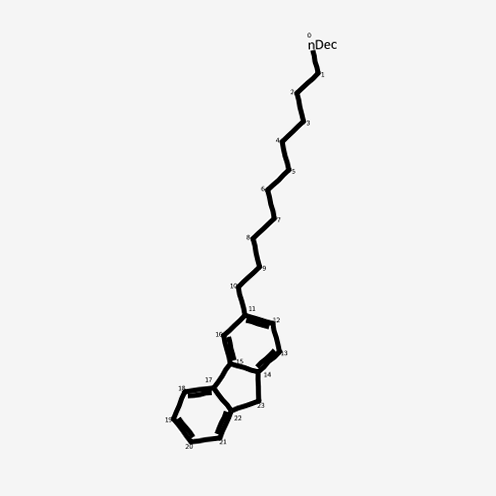 CCCCCCCCCCCCCCCCCCCCc1ccc2c(c1)-c1ccccc1C2